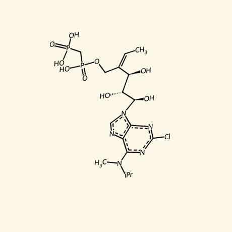 C/C=C(/COP(=O)(O)CP(=O)(O)O)[C@@H](O)[C@@H](O)[C@@H](O)n1cnc2c(N(C)C(C)C)nc(Cl)nc21